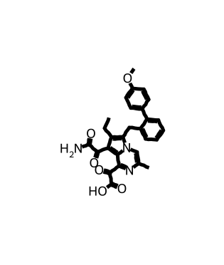 CCc1c(C(=O)C(N)=O)c2c(C(=O)C(=O)O)nc(C)cn2c1Cc1ccccc1-c1ccc(OC)cc1